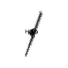 CCCCCCCCCCCCCCCCCCOC(=O)CC(C(=O)OCCCCCCCCCCCCCCCC)S(=O)(=O)O.[KH]